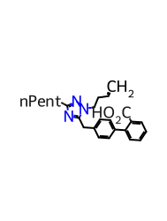 C=CCCn1nc(CCCCC)nc1Cc1ccc(-c2ccccc2C(=O)O)cc1